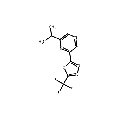 CC(C)c1cncc(-c2nnc(C(F)(F)F)o2)n1